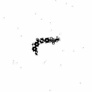 CCOc1cccc(-c2ccc(C(=O)N3CCN(c4ccc(C(=O)NS(=O)(=O)CCC(F)(F)F)cc4)CC3)cc2F)c1